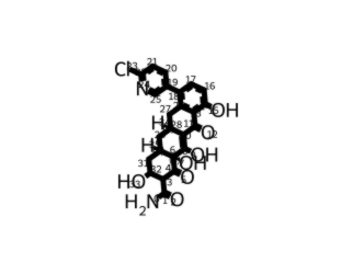 NC(=O)C1C(=O)[C@@]2(O)C(O)=C3C(=O)c4c(O)ccc(-c5ccc(Cl)nc5)c4C[C@H]3C[C@H]2CC1O